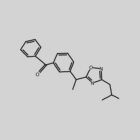 CC(C)Cc1noc(C(C)c2cccc(C(=O)c3ccccc3)c2)n1